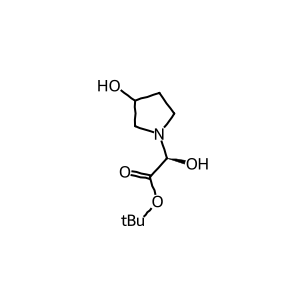 CC(C)(C)OC(=O)[C@H](O)N1CCC(O)C1